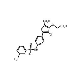 O=C(O)COc1c(C(=O)O)sc(-c2ccc(NS(=O)(=O)c3cccc(C(F)(F)F)c3)cc2)c1Cl